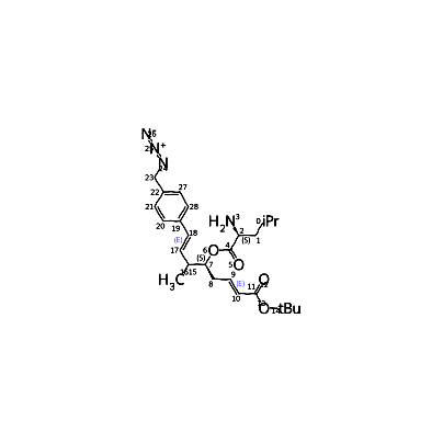 CC(C)C[C@H](N)C(=O)O[C@@H](C/C=C/C(=O)OC(C)(C)C)C(C)/C=C/c1ccc(CN=[N+]=[N-])cc1